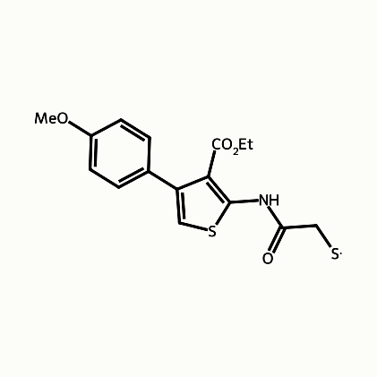 CCOC(=O)c1c(-c2ccc(OC)cc2)csc1NC(=O)C[S]